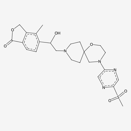 Cc1c(C(O)CN2CCC3(CC2)CN(c2cnc(S(C)(=O)=O)cn2)CCO3)ccc2c1COC2=O